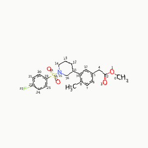 COC(=O)Cc1ccc(C)c(C2CCCN(S(=O)(=O)c3ccc(F)cc3)C2)c1